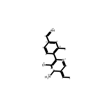 C\C=C(/C=N\C(=C(/C)CC)c1ccc(C=P)cc1C)CN